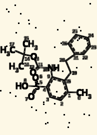 Cc1ccc(S(=O)(=O)O)c(NC(=O)OC(C)(C)C)c1CCc1ccccc1